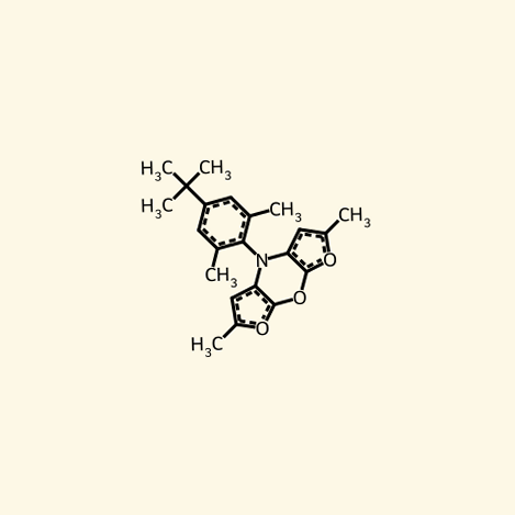 Cc1cc2c(o1)Oc1oc(C)cc1N2c1c(C)cc(C(C)(C)C)cc1C